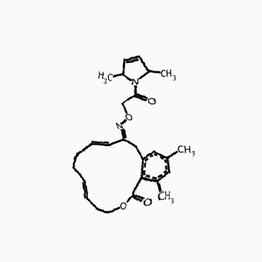 Cc1cc(C)c2c(c1)CC(=N\OCC(=O)N1C(C)C=CC1C)/C=C/CC/C=C/CCOC2=O